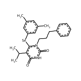 Cc1cc(C)cc([Se]c2c(C(C)C)c(=O)[nH]c(=O)n2CCCc2ccccc2)c1